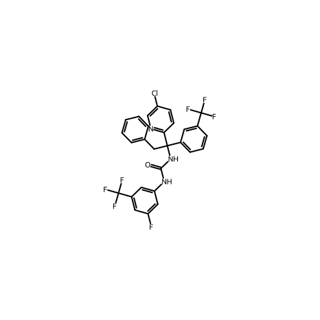 O=C(Nc1cc(F)cc(C(F)(F)F)c1)NC(Cc1ccccc1)(c1cccc(C(F)(F)F)c1)c1ccc(Cl)cn1